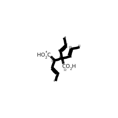 CC=CC(C(=O)O)C(C=CC)(C=CC)C(=O)O